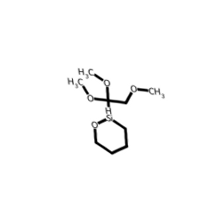 COCC(OC)(OC)[SiH]1CCCCO1